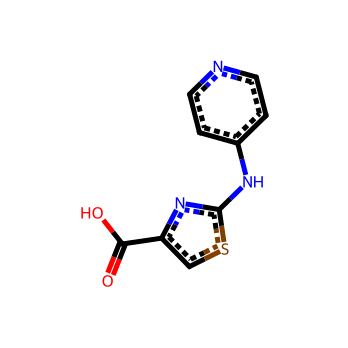 O=C(O)c1csc(Nc2ccncc2)n1